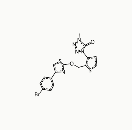 Cn1nnn(-c2ccsc2COc2nc(-c3ccc(Br)cc3)cs2)c1=O